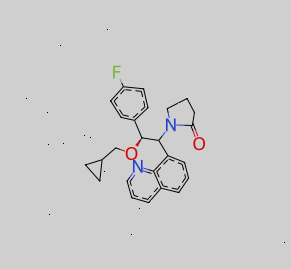 O=C1CCCN1C(c1cccc2cccnc12)[C@@H](OCC1CC1)c1ccc(F)cc1